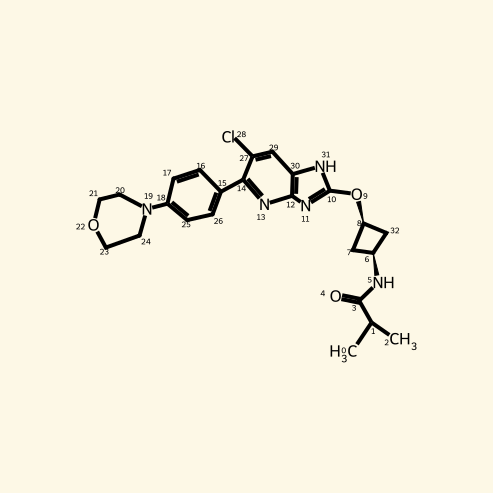 CC(C)C(=O)N[C@H]1C[C@@H](Oc2nc3nc(-c4ccc(N5CCOCC5)cc4)c(Cl)cc3[nH]2)C1